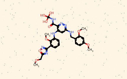 COCc1nc(-c2cccc(Nc3cc(NCc4ccc(OC)cc4OC)nnc3C(=O)NC(O)(O)O)c2OC)no1